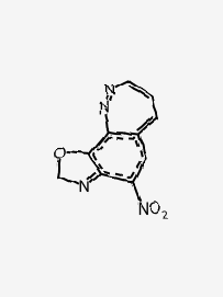 O=[N+]([O-])c1cc2c(c3c1=NCO3)N=NC=CC=2